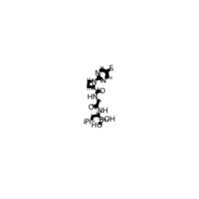 CC(C)CC(NC(=O)CNC(=O)[C@@H]1CCN1c1ncc(F)cn1)B(O)O